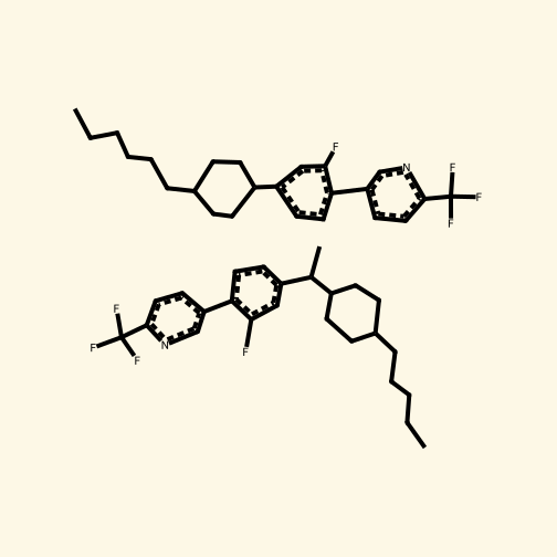 CCCCCC1CCC(C(C)c2ccc(-c3ccc(C(F)(F)F)nc3)c(F)c2)CC1.CCCCCCC1CCC(c2ccc(-c3ccc(C(F)(F)F)nc3)c(F)c2)CC1